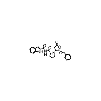 O=C1CC(N2CCC[C@H]2C(=O)NC(=O)c2cc3ccccc3[nH]2)C(OCc2ccccc2)O1